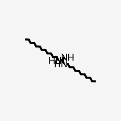 CCCCCCCCCCCCNC(=N)NCCCCCCCCCCC